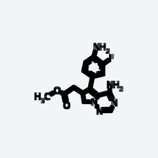 COC(=O)CC1CN2N=CN=C(N)C2=C1c1ccc(N)c(F)c1